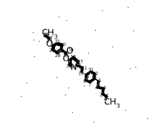 CCCCCC[C@H]1CC[C@H](CCc2ccc(OC(=O)c3ccc(OCCC)cc3)cn2)CC1